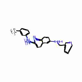 FC(F)(F)c1cccc(Nc2ccc3cc(NCc4cccnc4)ccc3n2)c1